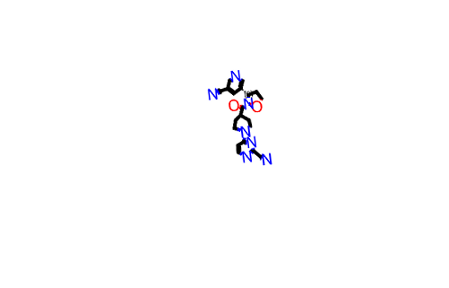 N#Cc1cncc([C@@H]2CCON2C(=O)C2CCN(c3ccnc(C#N)n3)CC2)c1